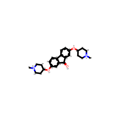 CN1CCC(Oc2ccc3c(c2)C(=O)c2cc(OC4CCN(C)CC4)ccc2-3)CC1